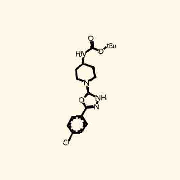 CC(C)(C)OC(=O)NC1CCN(C2NN=C(c3ccc(Cl)cc3)O2)CC1